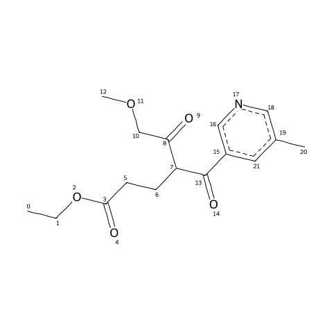 CCOC(=O)CCC(C(=O)COC)C(=O)c1cncc(C)c1